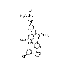 C=CC(=O)Nc1cc(Nc2cc(N3OCC[C@@H]3c3cccc(Cl)c3F)ncn2)c(OC)cc1N1CCC(N2CCN(C3CC3)[C@H](C)C2)CC1